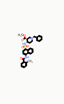 COC(=O)[C@H]1CN(Cc2ccccc2)CC[C@@H]1NS(=O)(=O)c1ccc(NC(=O)c2ccccc2C)c2ccccc12